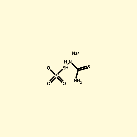 NC(N)=S.O=S(=O)([O-])S.[Na+]